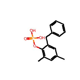 Cc1cc(C)c(OP(=O)(O)O)c(Cc2ccccc2)c1